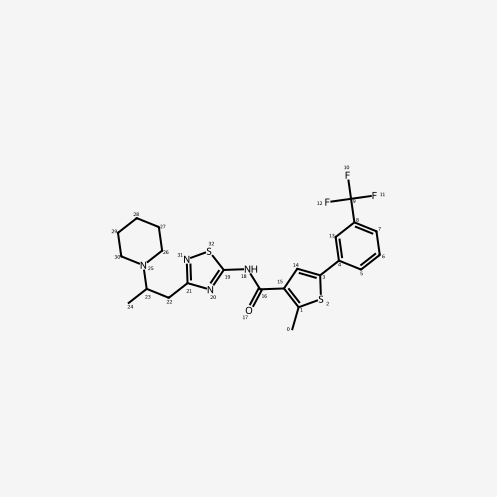 Cc1sc(-c2cccc(C(F)(F)F)c2)cc1C(=O)Nc1nc(CC(C)N2CCCCC2)ns1